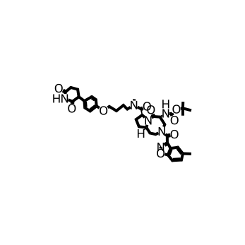 Cc1ccc2onc(C(=O)N3CC[C@H]4CC[C@@H](C(=O)N(C)CCCCOc5ccc(C6CCC(=O)NC6=O)cc5)N4C(=O)[C@@H](NC(=O)OC(C)(C)C)C3)c2c1